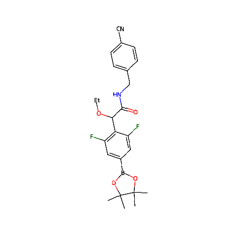 CCOC(C(=O)NCc1ccc(C#N)cc1)c1c(F)cc(B2OC(C)(C)C(C)(C)O2)cc1F